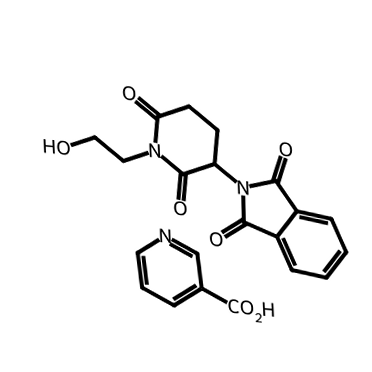 O=C(O)c1cccnc1.O=C1CCC(N2C(=O)c3ccccc3C2=O)C(=O)N1CCO